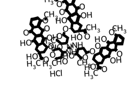 COc1cccc2c1C(=O)c1c(O)c3c(c(O)c1C2=O)C[C@@](O)(C(C)=O)C[C@@H]3OC1CC(NN(NC2CC(O[C@H]3C[C@](O)(C(C)=O)Cc4c(O)c5c(c(O)c43)C(=O)c3c(OC)cccc3C5=O)OC(C)C2O)C2CC(O[C@H]3C[C@](O)(C(C)=O)Cc4c(O)c5c(c(O)c43)C(=O)c3c(OC)cccc3C5=O)OC(C)C2O)C(O)C(C)O1.Cl